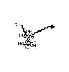 CCCCCCCCCCCCCC[C@@H](O)[C@@H](O)[C@H](COC1OC(CO)C(O)C(O)C1O)N=S(C)(=O)CCCCCCCCCCCC12CC(F)(C1)C2